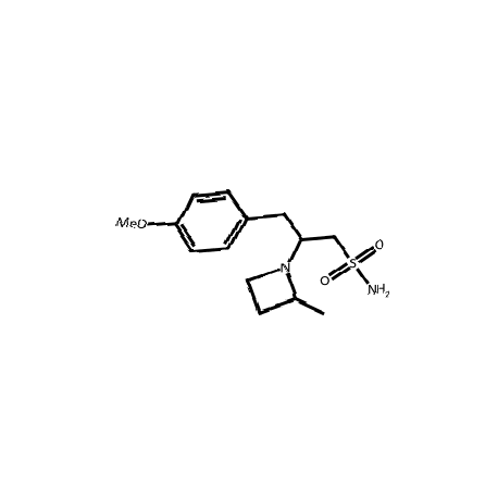 COc1ccc(CC(CS(N)(=O)=O)N2CCC2C)cc1